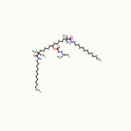 CCCCCCCCCCCCNC(=O)C(C)(C)CCCCCC(CCCCCC(C)(C)C(=O)NCCCCCCCCCCCC)OC(=O)CCN(C)C